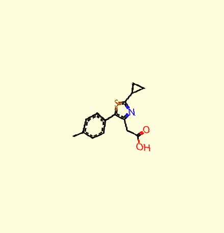 Cc1ccc(-c2sc(C3CC3)nc2CC(=O)O)cc1